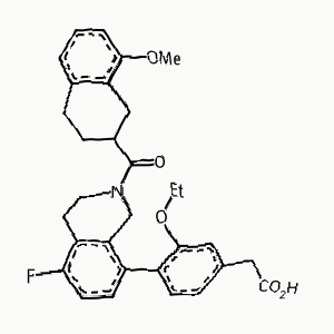 CCOc1cc(CC(=O)O)ccc1-c1ccc(F)c2c1CN(C(=O)C1CCc3cccc(OC)c3C1)CC2